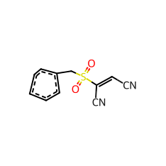 N#CC=C(C#N)S(=O)(=O)Cc1ccccc1